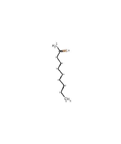 CCCCCCCCC(C)=S